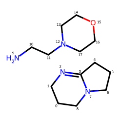 C1CN=C2CCCN2C1.NCCN1CCOCC1